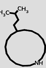 CC(C)CCC1CCCCCCCCNCCCCCCC1